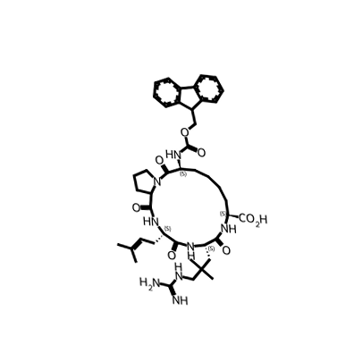 CC(C)=CC[C@@H]1NC(=O)C2CCCN2C(=O)[C@@H](NC(=O)OCC2c3ccccc3-c3ccccc32)CCCC[C@@H](C(=O)O)NC(=O)[C@H](CC(C)(C)CNC(=N)N)NC1=O